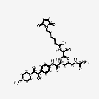 CC(C)C(NC(=O)CCCCCN1C(=O)C=CC1=O)C(=O)N[C@@H](CCCNC(N)=O)C(=O)Nc1ccc(C(O)C(=O)N2CCN(C)CC2)cc1